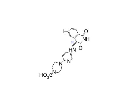 O=C1NC(=O)c2ccc(I)cc2/C1=C/Nc1ccc(N2CCN(C(=O)O)CC2)nc1